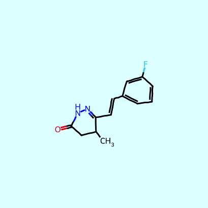 CC1CC(=O)NN=C1C=Cc1cccc(F)c1